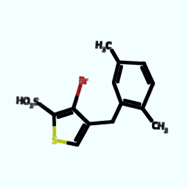 Cc1ccc(C)c(Cc2csc(S(=O)(=O)O)c2Br)c1